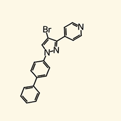 Brc1cn(-c2ccc(-c3ccccc3)cc2)nc1-c1ccncc1